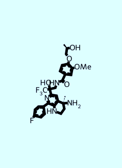 COc1cc(C(=O)NCC(O)(c2cc3c(c(-c4ccc(F)cc4)n2)NCC[C@]3(C)N)C(F)(F)F)ccc1OC[C@@H](C)O